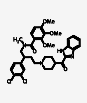 COc1ccc(C(=O)N(C)CC(CCN2CCC(C(=O)c3nc4ccccc4[nH]3)CC2)c2ccc(Cl)c(Cl)c2)c(OC)c1OC